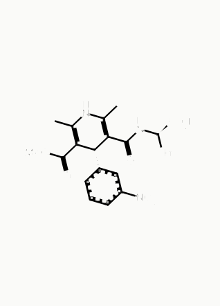 COC(=O)C1=C(C)NC(C)=C(C(=O)N[C@@H](C(=O)O)C(C)C)[C@@H]1c1cccc([N+](=O)[O-])c1